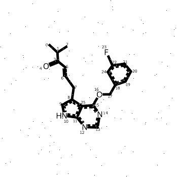 CC(C)C(=O)C=CCc1c[nH]c2ncnc(OCc3cccc(F)c3)c12